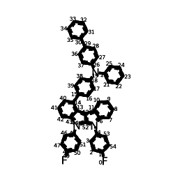 Fc1ccc(-n2c3ccccc3c3c4c(-c5ccc(N(c6ccccc6)c6ccc(-c7ccccc7)cc6)cc5)cccc4n(-c4ccc(F)cc4)c32)cc1